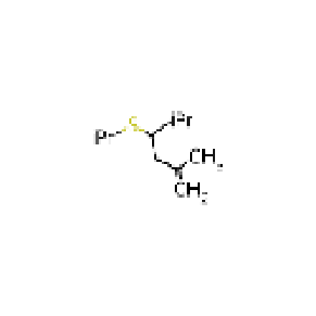 C=C(C)CC(SC(C)C)C(C)C